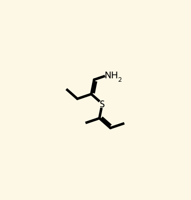 C/C=C(/C)S/C(=C\N)CC